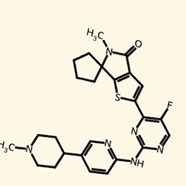 CN1CCC(c2ccc(Nc3ncc(F)c(-c4cc5c(s4)C4(CCCC4)N(C)C5=O)n3)nc2)CC1